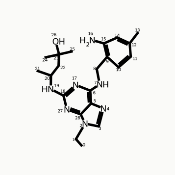 CCn1cnc2c(NCc3ccc(C)cc3N)nc(NC(C)CC(C)(C)O)nc21